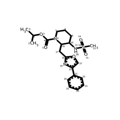 CC(C)OC(=O)N1CCCC(NS(C)(=O)=O)C1Cc1nc(-c2ccccc2)co1